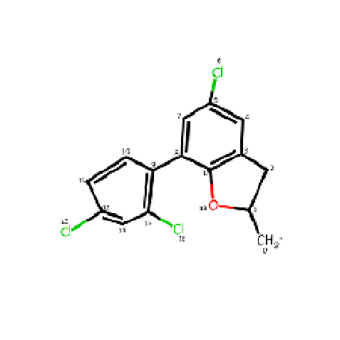 [CH2]C1Cc2cc(Cl)cc(-c3ccc(Cl)cc3Cl)c2O1